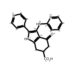 O=C1CC(C(=O)O)Cc2[nH]c(-c3ccncc3)c(Nc3ccccn3)c21